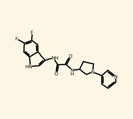 O=C(Nc1c[nH]c2cc(F)c(F)cc12)C(=O)NC1CCN(c2cccnc2)C1